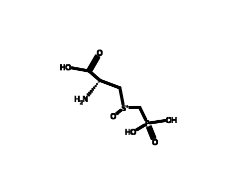 N[C@@H](C[S+]([O-])CP(=O)(O)O)C(=O)O